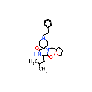 CC(C)CC1NC(=O)C2(CCN(CCc3ccccc3)CC2)N(CC2CCCO2)C1=O